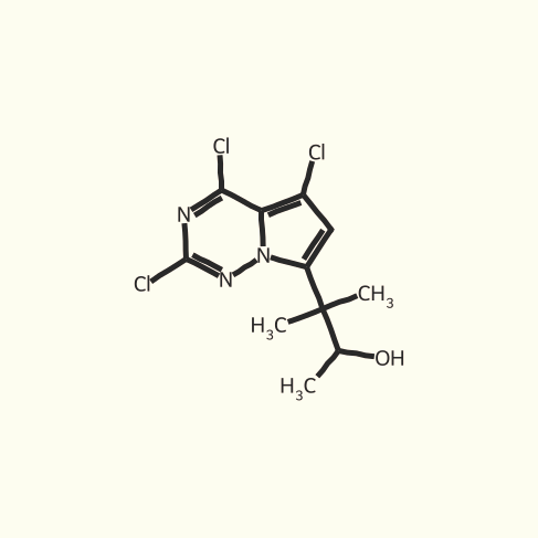 CC(O)C(C)(C)c1cc(Cl)c2c(Cl)nc(Cl)nn12